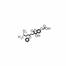 CC(C)CCC(CCc1c(O)c2ccc(OCC(=O)O)cc2oc1=O)Oc1ccccc1